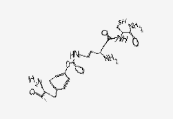 NC(=O)[C@H](CS)NC(=O)[C@@H](N)CCNC(=O)Oc1ccc(C[C@H](N)[C]=O)cc1